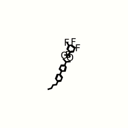 CCCCc1ccc(-c2ccc(C3COB(c4cc(F)c(F)c(F)c4)OC3)cc2)cc1